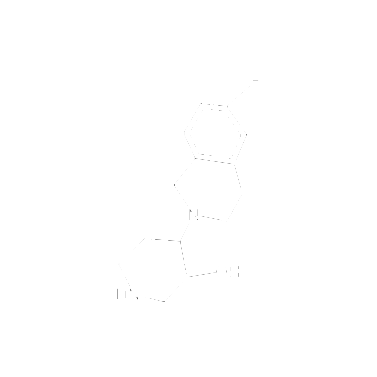 OC1CNCCC1N1CCc2cc(F)ccc2C1